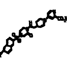 CCOC(=O)c1cc(N2CCC(CNN3CCN(S(=O)(=O)c4ccc5cc(Cl)ccc5c4)CC3=O)CC2)ccn1